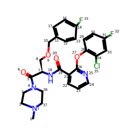 CN1CCN(C(=O)[C@@H](COCc2ccc(F)cc2)NC(=O)c2cccnc2Oc2ccc(F)cc2Cl)CC1